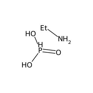 CCN.O=[PH](O)O